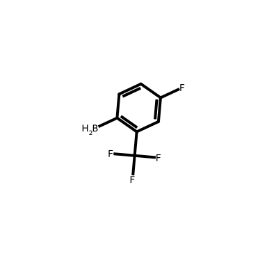 Bc1ccc(F)cc1C(F)(F)F